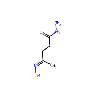 C/C(CCC(=O)NN)=N\O